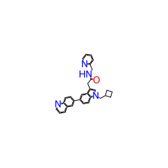 O=C(Cc1cn(CC2CCC2)c2ccc(-c3ccc4ncccc4c3)cc12)NCc1ccccn1